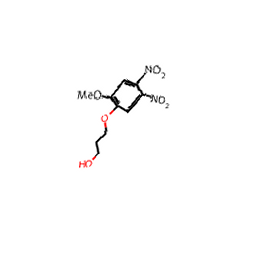 COc1cc([N+](=O)[O-])c([N+](=O)[O-])cc1OCCCO